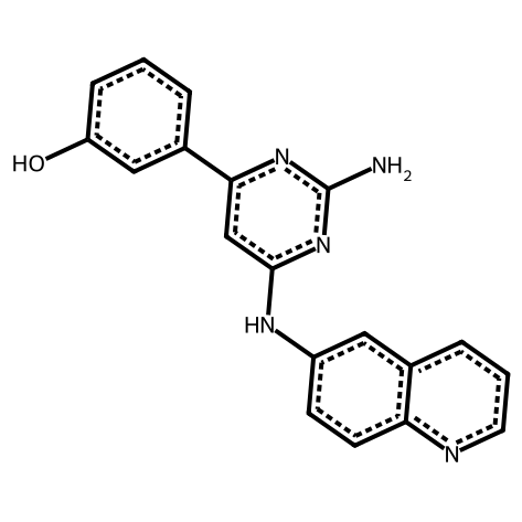 Nc1nc(Nc2ccc3ncccc3c2)cc(-c2cccc(O)c2)n1